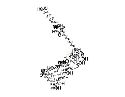 CC(CCC(=O)O)C(C)(C)C(=O)O.CCCCCCCCCCCC(C(=O)O)C(=O)O.O=C(O)/C=C\C(=O)O.O=C(O)CCC(=O)O.O=C(O)CCCC(=O)O.O=C(O)CCCCC(=O)O.O=C(O)CCCCCCC(=O)O.O=C(O)CCCCCCCC(=O)O.O=C(O)CCCCCCCCC(=O)O